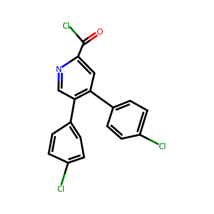 O=C(Cl)c1cc(-c2ccc(Cl)cc2)c(-c2ccc(Cl)cc2)cn1